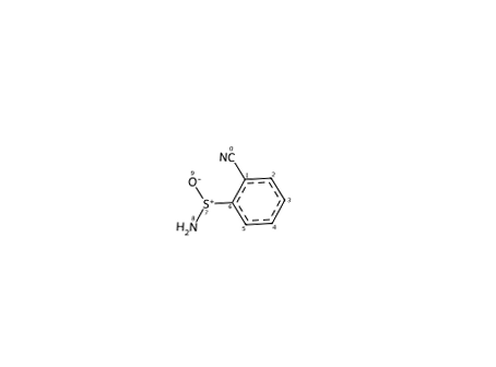 N#Cc1ccccc1[S+](N)[O-]